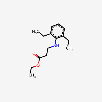 CCOC(=O)CCNc1c(CC)cccc1CC